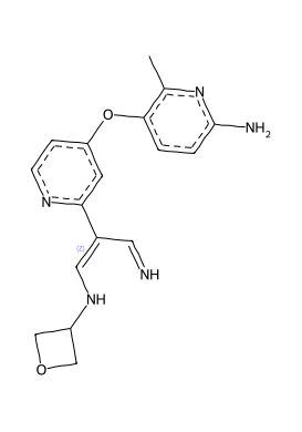 Cc1nc(N)ccc1Oc1ccnc(/C(C=N)=C/NC2COC2)c1